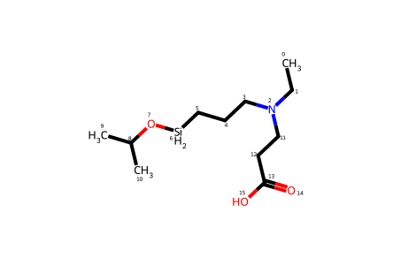 CCN(CCC[SiH2]OC(C)C)CCC(=O)O